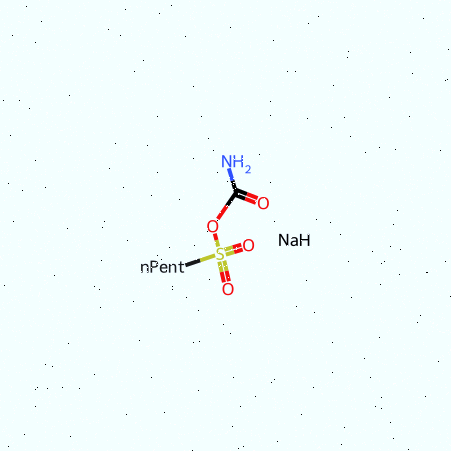 CCCCCS(=O)(=O)OC(N)=O.[NaH]